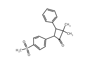 CC1(C)C(=O)C(c2ccc(S(C)(=O)=O)cc2)C1c1ccccc1